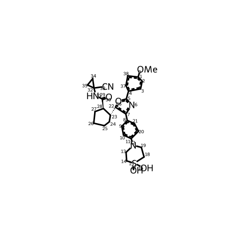 COc1ccc(-c2nc(-c3ccc(N4CCS(O)(O)CC4)cc3)c([C@@H]3CCCC[C@H]3C(=O)NC3(C#N)CC3)o2)cc1